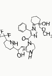 COC[C@]1(O)CCCC[C@H]1n1cnc(C(=O)N2CCNC[C@H]2CC(O)C2CCCC(C(F)(F)F)N2)c1-c1ccccc1